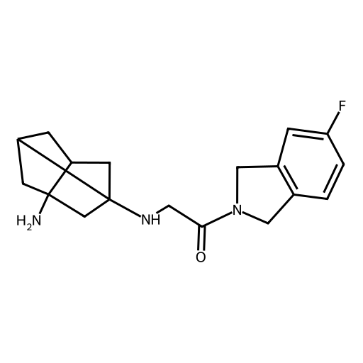 NC12CC3CC1CC3(NCC(=O)N1Cc3ccc(F)cc3C1)C2